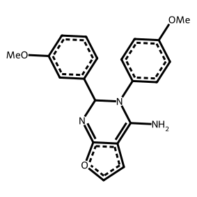 COc1ccc(N2C(N)=c3ccoc3=NC2c2cccc(OC)c2)cc1